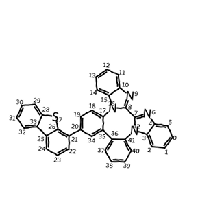 c1ccc2c(c1)nc1c3nc4ccccc4n3c3ccc(-c4cccc5c4sc4ccccc45)cc3c3ccccc3n21